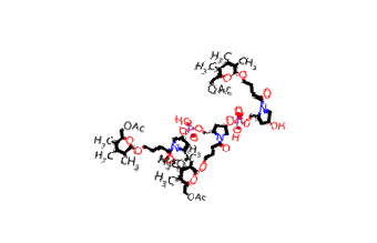 COC[C@@H]1C[C@@H](OP(=O)(O)OC[C@@H]2C[C@@H](OP(=O)(O)OC[C@@H]3C[C@@H](O)CN3C(=O)CCCO[C@@H]3OC(COC(C)=O)[C@H](C)[C@H](C)C3C)CN2C(=O)CCCO[C@@H]2OC(COC(C)=O)[C@H](C)[C@H](C)C2C)CN1C(=O)CCCO[C@@H]1OC(COC(C)=O)[C@H](C)[C@H](C)C1C